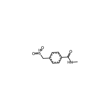 CNC(=O)c1ccc(C[SH](=O)=O)cc1